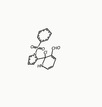 O=CC1=CC=CNC1(Cl)c1cccn1S(=O)(=O)c1ccccc1